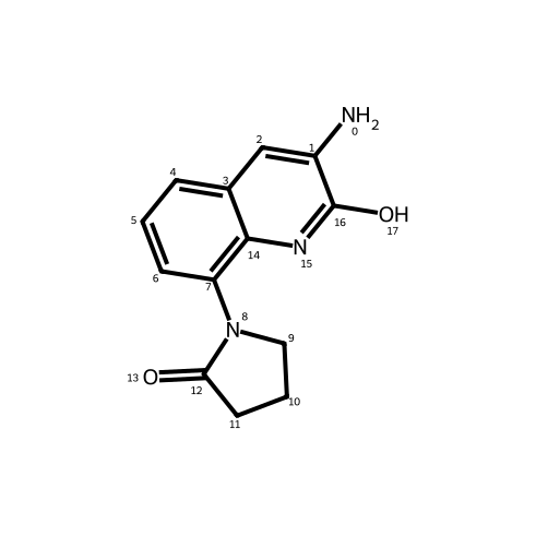 Nc1cc2cccc(N3CCCC3=O)c2nc1O